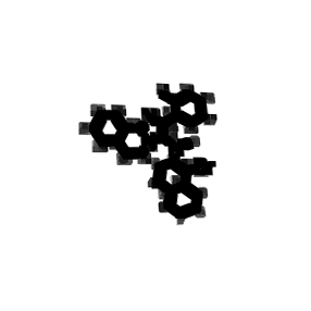 C=[N+](c1ccc2ccccc2c1Br)c1c(-c2ccccc2C)nc2c3ccccc3ccn12